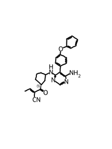 CC=C(C#N)C(=O)[C@H]1CCCC(Nc2ncnc(N)c2-c2ccc(Oc3ccccc3)cc2)C1